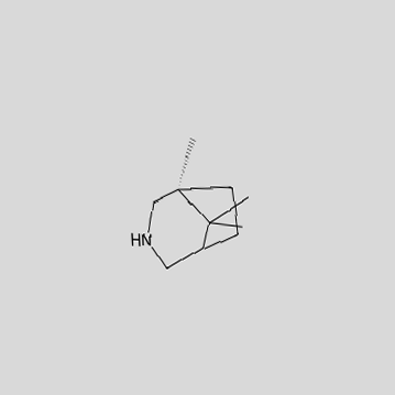 CC1(C)C2CC[C@]1(C)CNC2